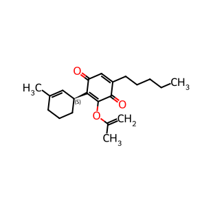 C=C(C)OC1=C([C@@H]2C=C(C)CCC2)C(=O)C=C(CCCCC)C1=O